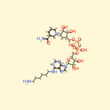 NCCCCCCNc1ncnc2c1ncn2C1OC(COP(=O)(O)OP(=O)(O)OCC2CC([n+]3cccc(C(N)=O)c3)C(O)C2O)C(O)C1O